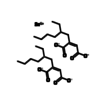 CCCCC(CC)C/C(=C/C(=O)[O-])C(=O)[O-].CCCCC(CC)C/C(=C/C(=O)[O-])C(=O)[O-].[Sn+4]